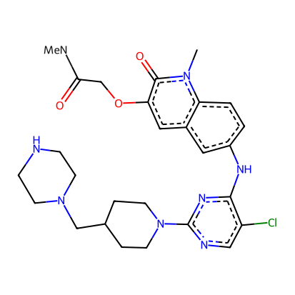 CNC(=O)COc1cc2cc(Nc3nc(N4CCC(CN5CCNCC5)CC4)ncc3Cl)ccc2n(C)c1=O